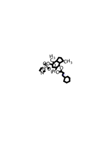 CC1CCC2C1C(OC(=O)/C=C/C1CCCCC1)C1(C(C)C)CC(OS(=O)(=O)n3ccnc3)C2(C)O1